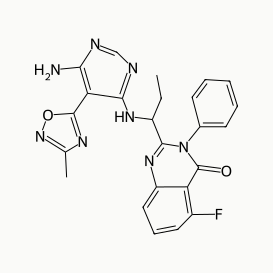 CCC(Nc1ncnc(N)c1-c1nc(C)no1)c1nc2cccc(F)c2c(=O)n1-c1ccccc1